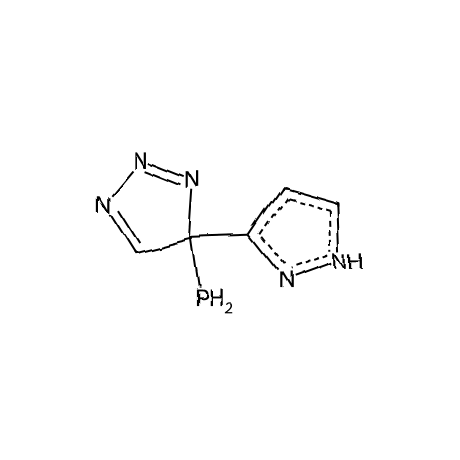 PC1(c2cc[nH]n2)C=NN=N1